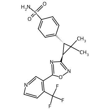 CC1(C)[C@@H](c2ccc(S(N)(=O)=O)cc2)[C@@H]1c1noc(-c2cnccc2C(F)(F)F)n1